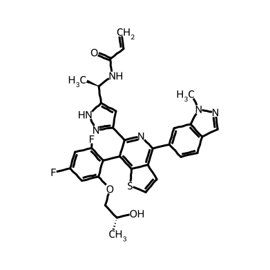 C=CC(=O)N[C@H](C)c1cc(-c2nc(-c3ccc4cnn(C)c4c3)c3ccsc3c2-c2c(F)cc(F)cc2OC[C@@H](C)O)n[nH]1